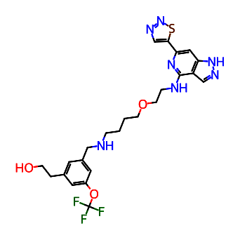 OCCc1cc(CNCCCCOCCNc2nc(-c3cnns3)cc3[nH]ncc23)cc(OC(F)(F)F)c1